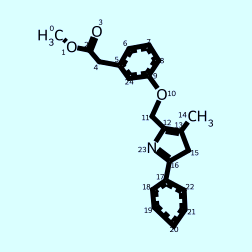 COC(=O)Cc1cccc(OCC2=C(C)CC(c3ccccc3)=N2)c1